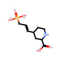 O=C(O)C1CC(C=CCP(=O)(O)O)CCN1